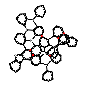 c1ccc(N2c3ccccc3B3c4cccc(-c5cccc6c5oc5ccccc56)c4N(c4cccc(-c5cccc(-n6c7ccccc7c7cccc(-c8cccc9c8N(c8ccccc8)c8cccc%10c8B9c8ccccc8N%10c8ccccc8)c76)c5)c4)c4cccc2c43)cc1